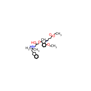 CCOC(=O)CC/C=C/c1c(OCC)cccc1[C@@H](C)OC[C@H](O)CNC(C)(C)CC1Cc2ccccc2C1